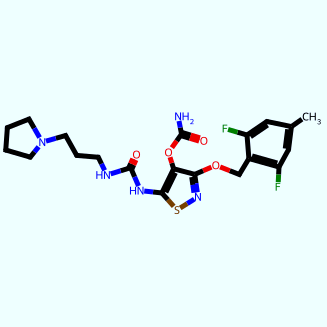 Cc1cc(F)c(COc2nsc(NC(=O)NCCCN3CCCC3)c2OC(N)=O)c(F)c1